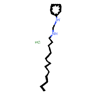 CCCCCCCCCCCCNCNc1ccccc1.Cl